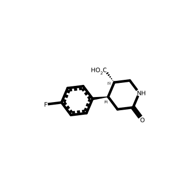 O=C1C[C@@H](c2ccc(F)cc2)[C@H](C(=O)O)CN1